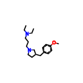 CCN(CC)CCCN1CCC(Cc2ccc(OC)cc2)C1